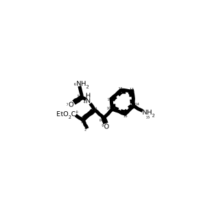 CCOC(=O)C(C)=C(NC(N)=O)C(=O)c1cccc(N)c1